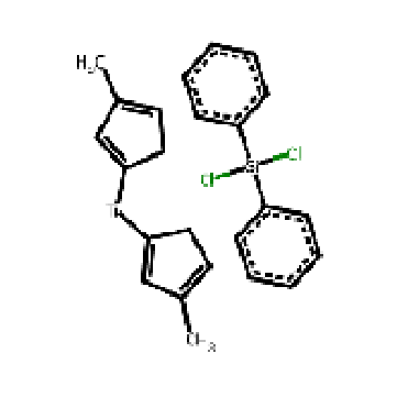 CC1=CC[C]([Ti][C]2=CC(C)=CC2)=C1.Cl[Si](Cl)(c1ccccc1)c1ccccc1